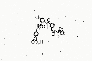 CCN(CC)CCN(C)Cc1cccc(C(=O)Nc2ccc(Cl)cc2C(=O)N/N=C/c2ccc(OCC(=O)O)cc2)c1